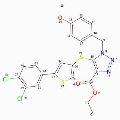 CCOC(=O)c1nnn(Cc2ccc(OC)cc2)c1Sc1csc(-c2ccc(Cl)c(Cl)c2)c1